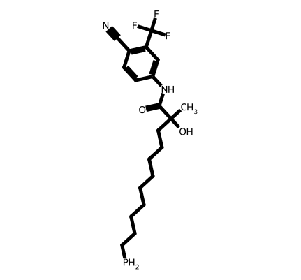 CC(O)(CCCCCCCCCP)C(=O)Nc1ccc(C#N)c(C(F)(F)F)c1